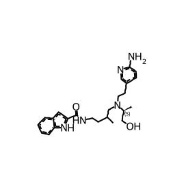 CC(CCNC(=O)c1cc2ccccc2[nH]1)CN(CCc1ccc(N)nc1)[C@@H](C)CO